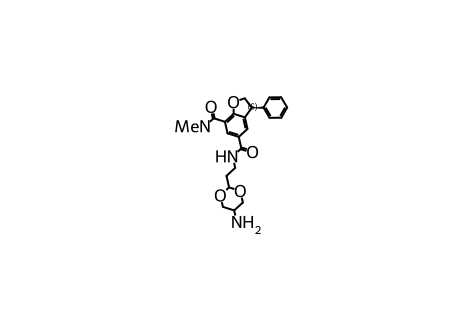 CNC(=O)c1cc(C(=O)NCCC2OCC(N)CO2)cc2c1OC[C@H]2c1ccccc1